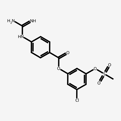 CS(=O)(=O)Oc1cc(Cl)cc(OC(=O)c2ccc(NC(=N)N)cc2)c1